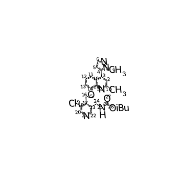 Cc1cc(-c2ccnn2C)c2cccc(OCc3c(Cl)cncc3CNC(=O)OCC(C)C)c2n1